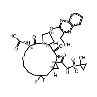 CCc1nc2ccccc2nc1O[C@@H]1C[C@H]2C(=O)N[C@]3(C(=O)NS(=O)(=O)C4(C)CC4)C[C@H]3CC(F)(F)CCCCC[C@H](NC(=O)O)C(=O)N2C1